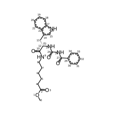 COC(=O)CCCCCNC(=O)[C@H](Cc1c[nH]c2ccccc12)NC(=O)NC(=O)c1ccccc1